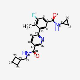 Cc1c(F)cc(C(=O)NC2CC2)cc1-c1ccc(C(=O)NCC2CCC2)cn1